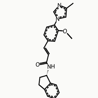 COc1cc(/C=C/C(=O)N[C@H]2CCc3ccccc32)ccc1-n1cnc(C)c1